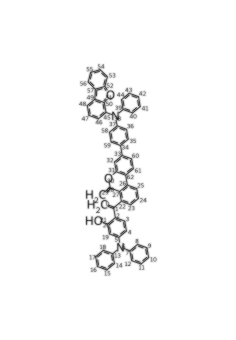 C=C(c1ccc(N(c2ccccc2)c2ccccc2)cc1O)c1cccc2c1C(=C)Oc1cc(-c3ccc(N(c4ccccc4)c4cccc5c4oc4ccccc45)cc3)ccc1-2